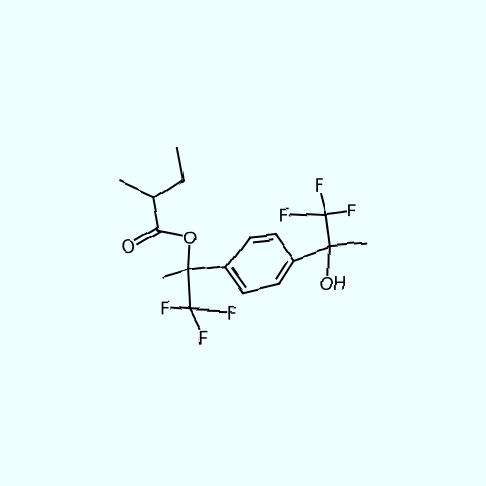 CCC(C)C(=O)OC(C)(c1ccc(C(C)(O)C(F)(F)F)cc1)C(F)(F)F